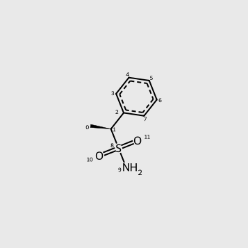 C[C@@H](c1ccccc1)S(N)(=O)=O